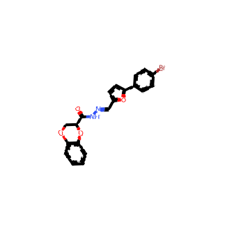 O=C(NN=Cc1ccc(-c2ccc(Br)cc2)o1)C1COc2ccccc2O1